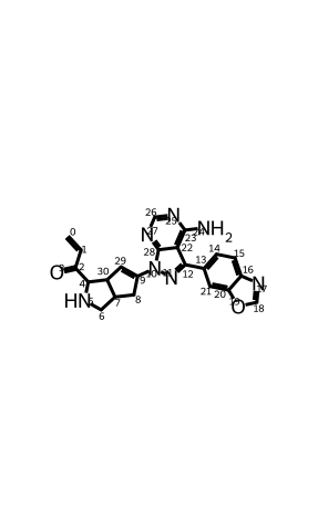 C=CC(=O)C1NCC2CC(n3nc(-c4ccc5ncoc5c4)c4c(N)ncnc43)=CC21